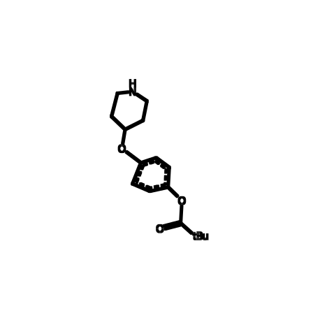 CC(C)(C)C(=O)Oc1ccc(OC2CCNCC2)cc1